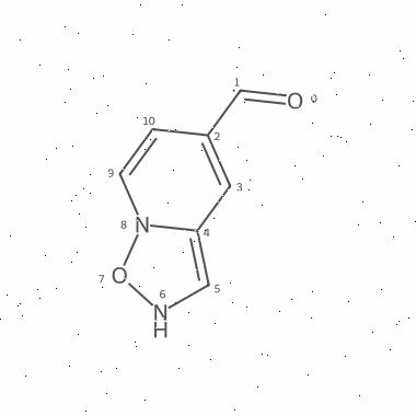 O=[C]C1=CC2=CNON2C=C1